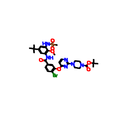 COc1c(NC(=O)c2ccc(Br)c(Oc3ccnc(N4CCN(C(=O)OC(C)(C)C)CC4)n3)c2)cc(C(C)(C)C)cc1NS(C)(=O)=O